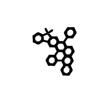 C[Si]1(C)c2ccccc2-c2cc3c(-c4ccccc4-c4cccc5ccccc45)c4ccccc4c(-c4ccccc4)c3cc21